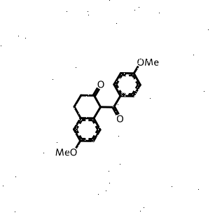 COc1ccc(C(=O)C2C(=O)CCc3cc(OC)ccc32)cc1